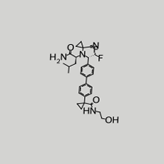 CC(C)C[C@@H](C(N)=O)N([C@@H](c1ccc(-c2ccc(C3(C(=O)NCCO)CC3)cc2)cc1)C(F)F)C1(C#N)CC1